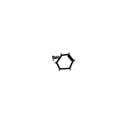 C1=CCCCC1.[NaH]